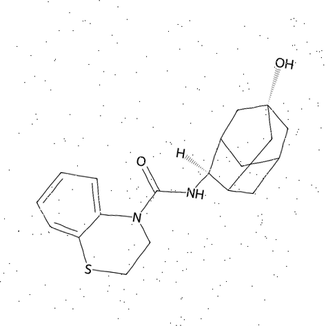 O=C(N[C@H]1C2CC3CC1C[C@](O)(C3)C2)N1CCSc2ccccc21